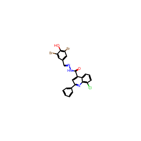 O=C(N/N=C/c1cc(Br)c(O)c(Br)c1)c1cc(-c2ccccc2)nc2c(Cl)cccc12